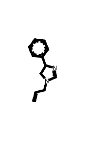 C=CCN1C=NC(c2ccccc2)C1